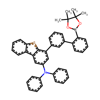 CC1(C)OB(c2ccccc2-c2cccc(-c3cc(N(c4ccccc4)c4ccccc4)cc4c3sc3ccccc34)c2)OC1(C)C